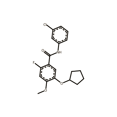 COc1cc(F)c(C(=O)Nc2cccc(Cl)c2)cc1OC1CCCC1